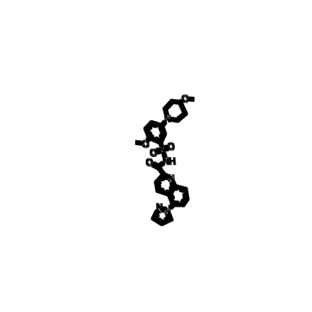 COc1ccc(N2CCC(OC)CC2)cc1S(=O)(=O)NC(=O)c1ccc2c(-n3cccn3)cccc2n1